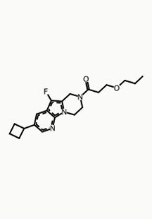 CCCOCCC(=O)N1CCn2c(c(F)c3cc(C4CCC4)cnc32)C1